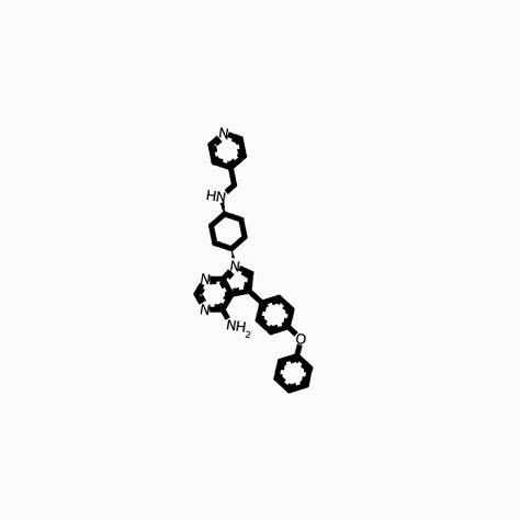 Nc1ncnc2c1c(-c1ccc(Oc3ccccc3)cc1)cn2[C@H]1CC[C@H](NCc2ccncc2)CC1